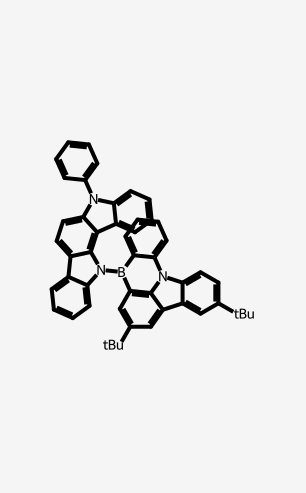 CC(C)(C)c1ccc2c(c1)c1cc(C(C)(C)C)cc3c1n2-c1ccccc1B3n1c2ccccc2c2ccc3c(c4ccccc4n3-c3ccccc3)c21